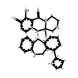 O=C1c2c(O)c(=O)ccn2N([C@H]2c3ccccc3SCc3c(-c4cccs4)cccc32)[C@H]2COCCN12